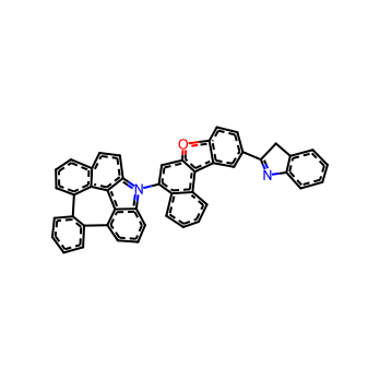 c1ccc2c(c1)CC(c1ccc3oc4cc(-n5c6cccc7c6c6c8c(cccc8ccc65)-c5ccccc5-7)c5ccccc5c4c3c1)=N2